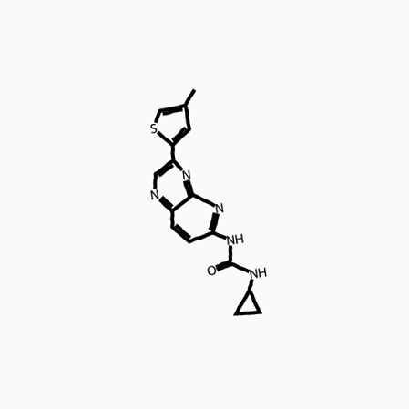 Cc1csc(-c2cnc3ccc(NC(=O)NC4CC4)nc3n2)c1